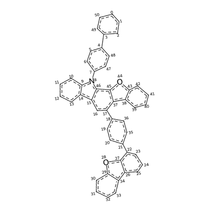 c1ccc(-c2ccc(-n3c4ccccc4c4cc(-c5ccc(-c6cccc7c6oc6ccccc67)cc5)c5c6ccccc6oc5c43)cc2)cc1